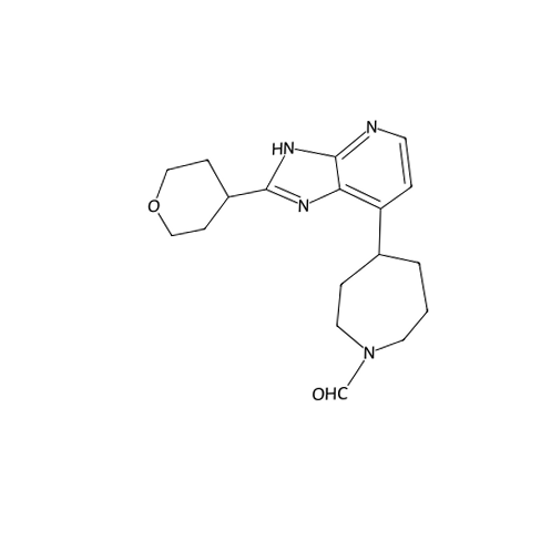 O=CN1CCCC(c2ccnc3[nH]c(C4CCOCC4)nc23)CC1